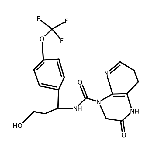 O=C1CN(C(=O)NC(CCO)c2ccc(OC(F)(F)F)cc2)C2=C(CCC=N2)N1